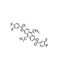 Cc1c2ccc(OC(=O)c3ccc(F)c(F)c3)cc2c(C)c2ccc(OC(=O)c3ccc(F)c(F)c3)cc12